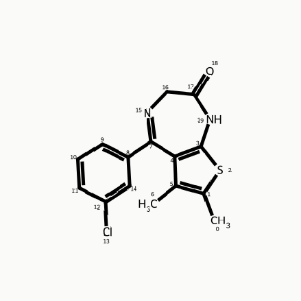 Cc1sc2c(c1C)C(c1cccc(Cl)c1)=NCC(=O)N2